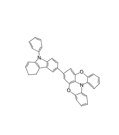 C1=Cc2c(c3cc(-c4cc5c6c(c4)Oc4ccccc4N6c4ccccc4O5)ccc3n2-c2ccccc2)CC1